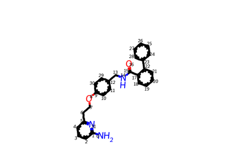 Nc1cccc(CCOc2ccc(CNC(=O)c3ccccc3-c3ccccc3)cc2)n1